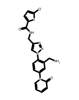 NCc1cc(-n2ccccc2=O)ccc1-n1cc(CNC(=O)c2ccc(Cl)s2)nn1